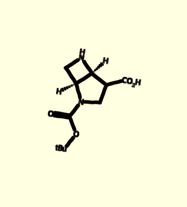 CC(C)(C)OC(=O)N1CC(C(=O)O)[C@@H]2NC[C@@H]21